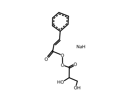 O=C(C=Cc1ccccc1)OOC(=O)C(O)CO.[NaH]